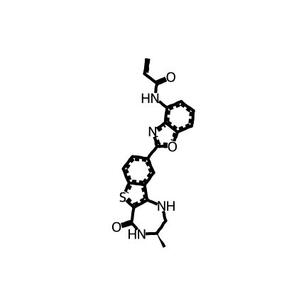 C=CC(=O)Nc1cccc2oc(-c3ccc4sc5c(c4c3)NC[C@@H](C)NC5=O)nc12